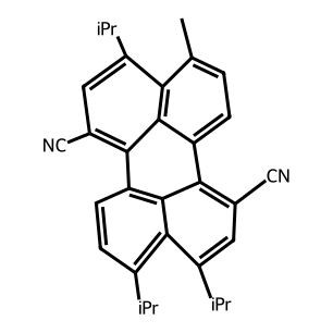 Cc1ccc2c3c(C#N)cc(C(C)C)c4c(C(C)C)ccc(c5c(C#N)cc(C(C)C)c1c25)c43